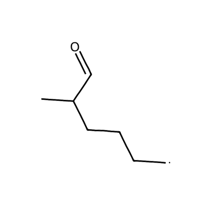 [CH2]CCCC(C)C=O